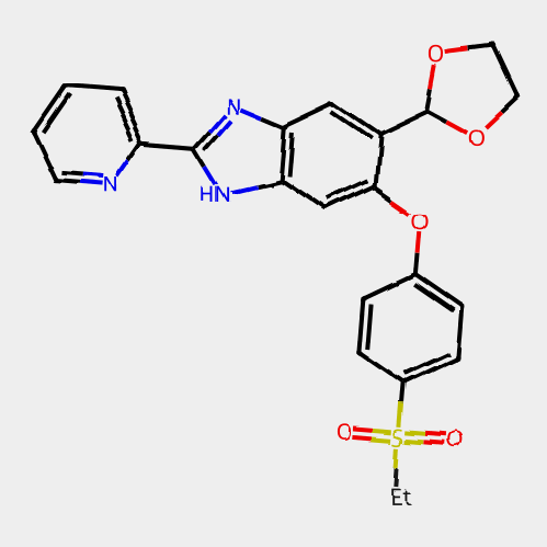 CCS(=O)(=O)c1ccc(Oc2cc3[nH]c(-c4ccccn4)nc3cc2C2OCCO2)cc1